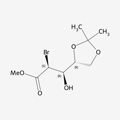 COC(=O)[C@@H](Br)[C@H](O)[C@H]1COC(C)(C)O1